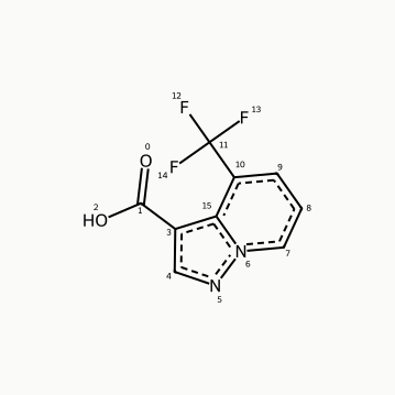 O=C(O)c1cnn2cccc(C(F)(F)F)c12